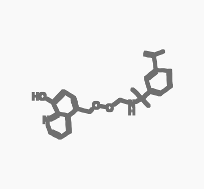 C=C(C)c1cccc(C(C)(C)NCOOCc2ccc(O)c3ncccc23)c1